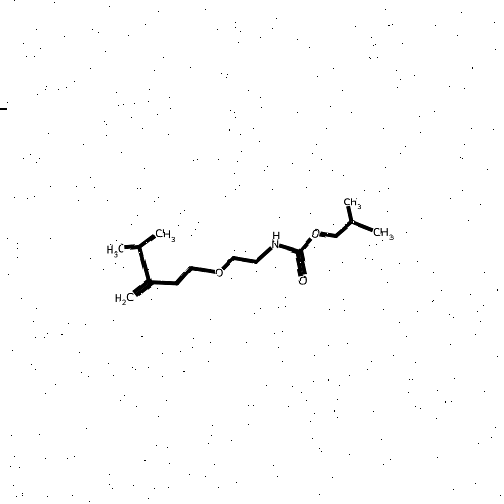 C=C(CCOCCNC(=O)OCC(C)C)C(C)C